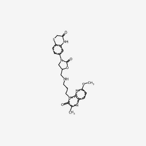 COc1ccc2nc(C)c(=O)n(CCCNCC3CN(c4ccc5c(c4)NC(=O)CS5)C(=O)O3)c2n1